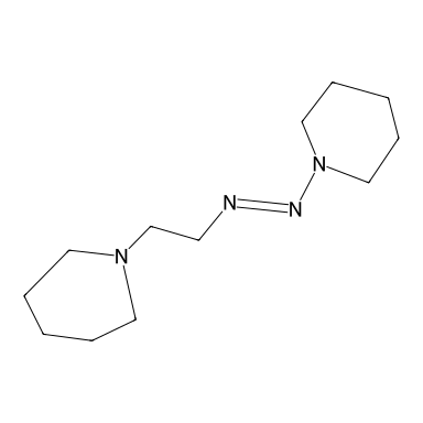 C1CCN(CCN=NN2CCCCC2)CC1